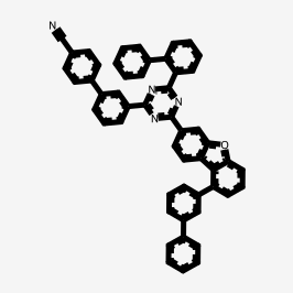 N#Cc1ccc(-c2cccc(-c3nc(-c4ccc5c(c4)oc4cccc(-c6cccc(-c7ccccc7)c6)c45)nc(-c4ccccc4-c4ccccc4)n3)c2)cc1